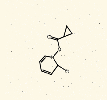 CCC1C=CC=CN1OC(=O)C1CC1